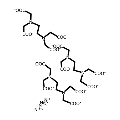 O=C([O-])CN(CCN(CC(=O)[O-])CC(=O)[O-])CC(=O)[O-].O=C([O-])CN(CCN(CC(=O)[O-])CC(=O)[O-])CC(=O)[O-].O=C([O-])CN(CCN(CC(=O)[O-])CC(=O)[O-])CC(=O)[O-].[Ni+3].[Ni+3].[Ni+3].[Ni+3]